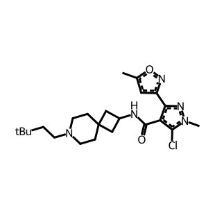 Cc1cc(-c2nn(C)c(Cl)c2C(=O)NC2CC3(CCN(CCC(C)(C)C)CC3)C2)no1